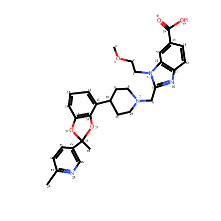 COCCn1c(CN2CCC(c3cccc4c3OC(C)(c3ccc(C)nc3)O4)CC2)nc2ccc(C(=O)O)cc21